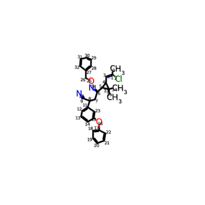 C/C(Cl)=C/C1C(C(CC(C#N)c2cccc(Oc3ccccc3)c2)=NOCc2ccccc2)C1(C)C